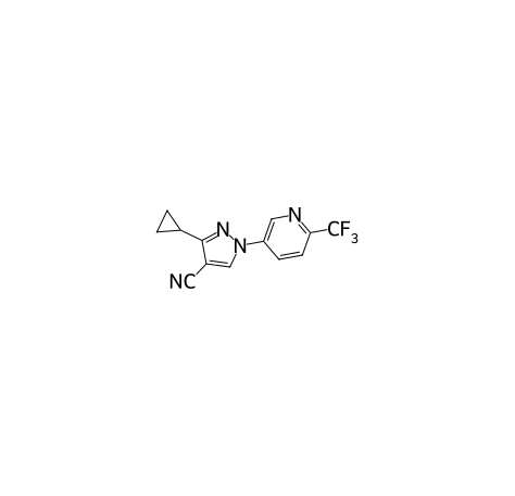 N#Cc1cn(-c2ccc(C(F)(F)F)nc2)nc1C1CC1